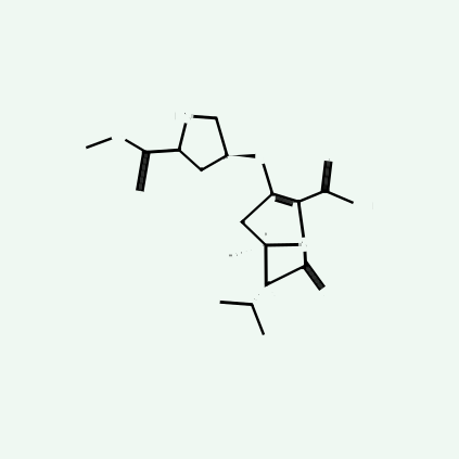 COC(=O)C1C[C@H](SC2=C(C(=O)O)N3C(=O)[C@H](C(C)O)[C@H]3C2)CN1